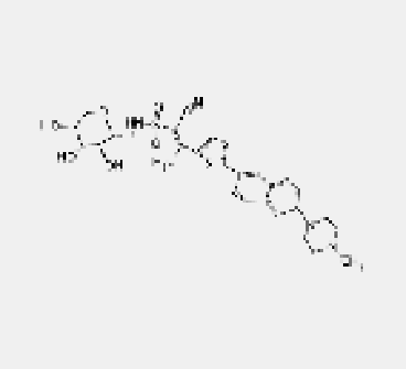 C/C(=C(/C#N)S(=O)(=O)NC[C@H]1OC[C@H](O)[C@@H](O)[C@@H]1O)c1ccc(-c2ccc3cc(N4CCN(C)CC4)ccc3c2)s1